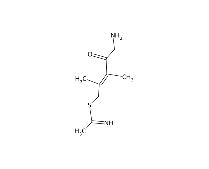 CC(=N)SC/C(C)=C(\C)C(=O)CN